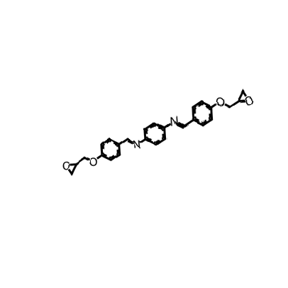 C(=Nc1ccc(N=Cc2ccc(OCC3CO3)cc2)cc1)c1ccc(OCC2CO2)cc1